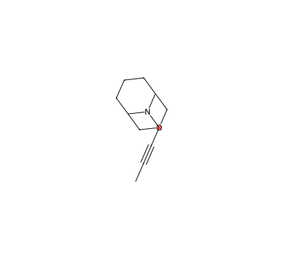 CC#CCN1C2CCCC1COC2